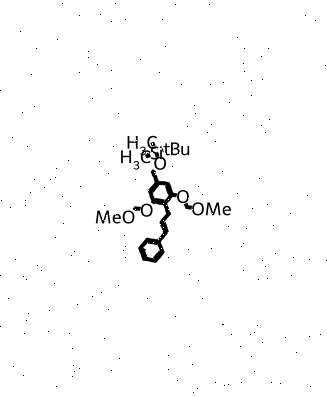 COCOc1cc(CO[Si](C)(C)C(C)(C)C)cc(OCOC)c1CC=Cc1ccccc1